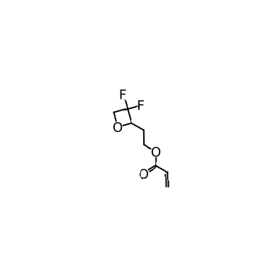 C=CC(=O)OCCC1OCC1(F)F